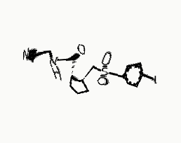 N#CCNC(=O)[C@H]1CCC[C@@H]1CS(=O)(=O)c1ccc(I)cc1